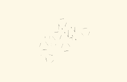 CC1(C)c2ccccc2-c2c1ccc1c2Oc2c(cccc2-c2ccccc2-c2nc(-c3ccccc3)nc(-c3ccccn3)n2)O1